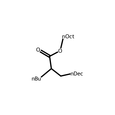 CCCCCCCCCCCC(CCCC)C(=O)OCCCCCCCC